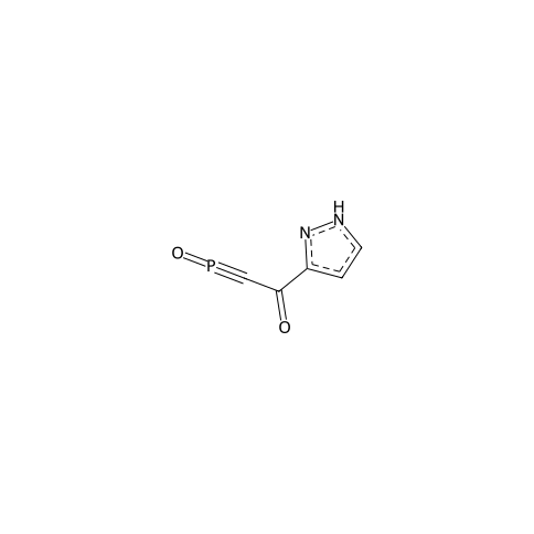 O=P#CC(=O)c1cc[nH]n1